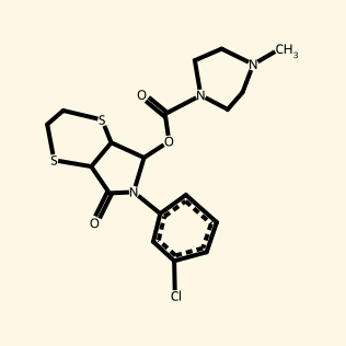 CN1CCN(C(=O)OC2C3SCCSC3C(=O)N2c2cccc(Cl)c2)CC1